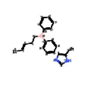 CC(C)c1cnc[nH]1.CCC=CCCB(c1ccccc1)c1ccccc1